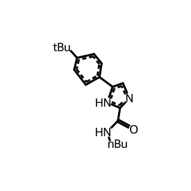 CCCCNC(=O)c1ncc(-c2ccc(C(C)(C)C)cc2)[nH]1